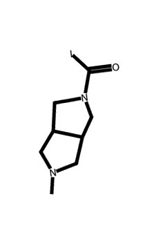 CN1CC2CN(C(=O)I)CC2C1